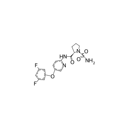 NS(=O)(=O)N1CCC[C@@H]1C(=O)Nc1ccc(Oc2cc(F)cc(F)c2)cn1